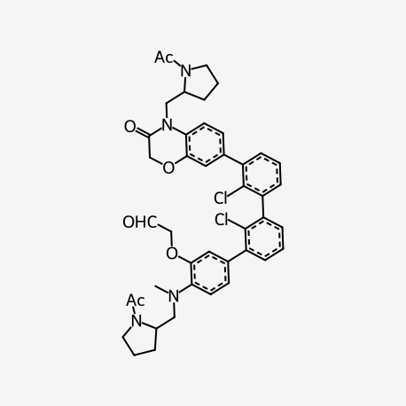 CC(=O)N1CCCC1CN(C)c1ccc(-c2cccc(-c3cccc(-c4ccc5c(c4)OCC(=O)N5CC4CCCN4C(C)=O)c3Cl)c2Cl)cc1OCC=O